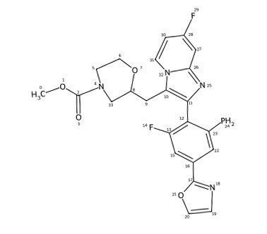 COC(=O)N1CCOC(Cc2c(-c3c(F)cc(-c4ncco4)cc3P)nc3cc(F)ccn23)C1